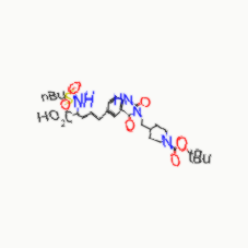 CCCCS(=O)(=O)NC(CCCc1ccc2[nH]c(=O)n(CCC3CCN(C(=O)OC(C)(C)C)CC3)c(=O)c2c1)C(=O)O